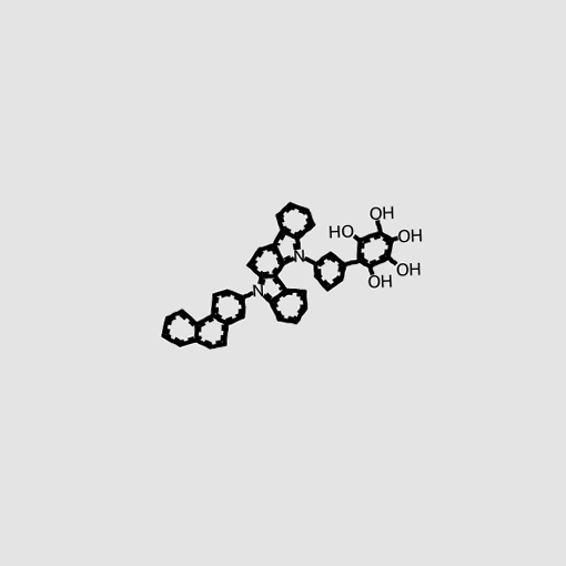 Oc1c(O)c(O)c(-c2cccc(-n3c4ccccc4c4ccc5c(c6ccccc6n5-c5ccc6c(ccc7ccccc76)c5)c43)c2)c(O)c1O